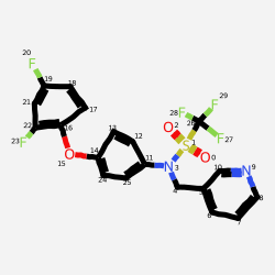 O=S(=O)(N(Cc1cccnc1)c1ccc(Oc2ccc(F)cc2F)cc1)C(F)(F)F